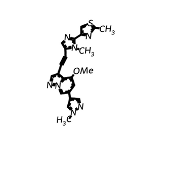 COc1cc(-c2cnn(C)c2)cn2ncc(C#Cc3cnc(-c4csc(C)n4)n3C)c12